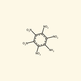 Nc1c([N+](=O)[O-])c([N+](=O)[O-])c([N+](=O)[O-])c([N+](=O)[O-])c1[N+](=O)[O-]